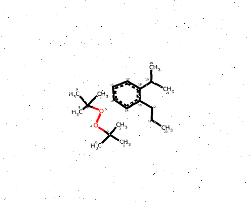 CC(C)(C)OOC(C)(C)C.CCCc1ccccc1C(C)C